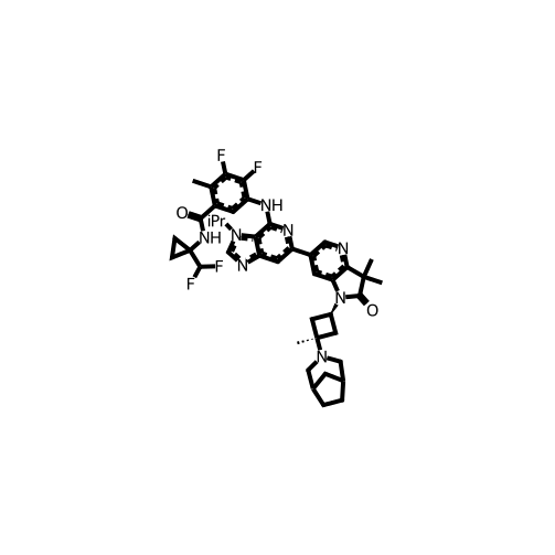 Cc1c(C(=O)NC2(C(F)F)CC2)cc(Nc2nc(-c3cnc4c(c3)N([C@H]3C[C@@](C)(N5CC6CCC(C6)C5)C3)C(=O)C4(C)C)cc3ncn(C(C)C)c23)c(F)c1F